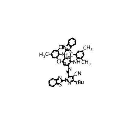 Cc1cc(C)c(Nc2nc(N(c3nc4ccccc4s3)c3c(C)cc(C)cc3C)ccc2N=Nc2c(C#N)c(C(C)(C)C)nn2-c2nc3ccccc3s2)c(C)c1